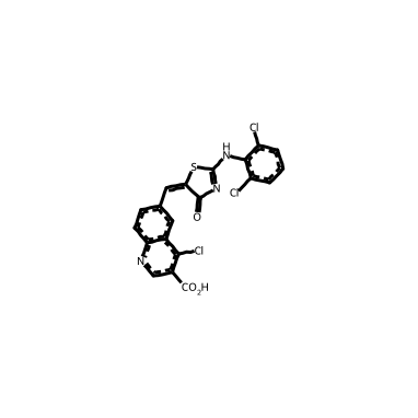 O=C1N=C(Nc2c(Cl)cccc2Cl)SC1=Cc1ccc2ncc(C(=O)O)c(Cl)c2c1